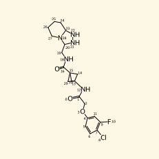 O=C(COc1ccc(Cl)c(F)c1)NC12CC(C(=O)NCC3NNC4CCCCN43)(C1)C2